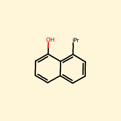 CC(C)c1cccc2cccc(O)c12